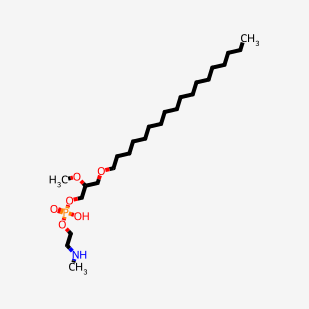 CCCCCCCCCCCCCCCCCCOCC(COP(=O)(O)OCCNC)OC